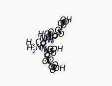 Cc1c(N)c(/N=N/c2ccc(S(=O)(=O)CCOS(=O)(=O)O)cc2S(=O)(=O)O)cc(/N=N/c2ccc(S(=O)(=O)CCOS(=O)(=O)O)cc2S(=O)(=O)O)c1N